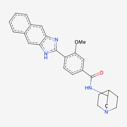 COc1cc(C(=O)NC2CN3CCC2CC3)ccc1-c1nc2cc3ccccc3cc2[nH]1